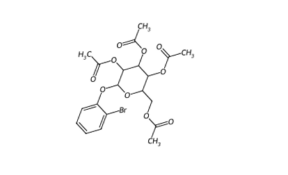 CC(=O)OCC1OC(Oc2ccccc2Br)C(OC(C)=O)C(OC(C)=O)C1OC(C)=O